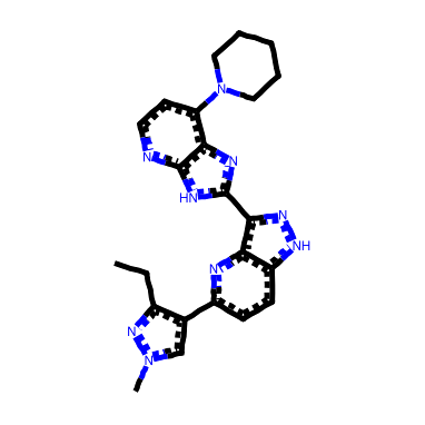 CCc1nn(C)cc1-c1ccc2[nH]nc(-c3nc4c(N5CCCCC5)ccnc4[nH]3)c2n1